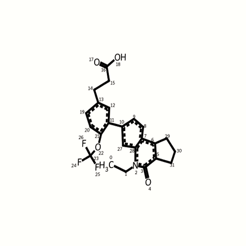 CCn1c(=O)c2c(c3ccc(-c4cc(CCC(=O)O)ccc4OC(F)(F)F)cc31)CCC2